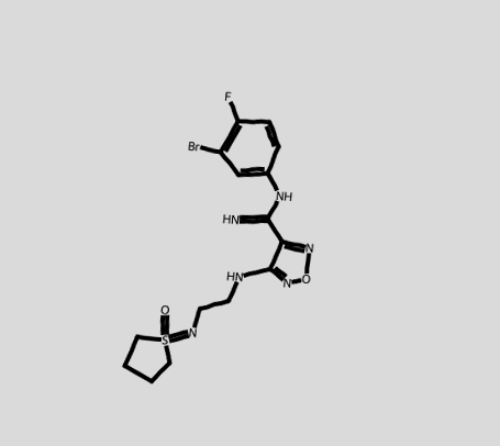 N=C(Nc1ccc(F)c(Br)c1)c1nonc1NCCN=S1(=O)CCCC1